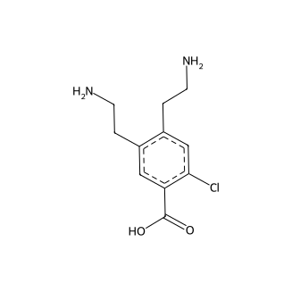 NCCc1cc(Cl)c(C(=O)O)cc1CCN